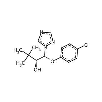 CC(C)(C)[C@H](O)[C@@H](Oc1ccc(Cl)cc1)n1cncn1